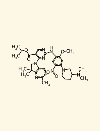 COc1cc(N2CCCC(N(C)C)C2)c([N+](=O)[O-])cc1Nc1ncc(C(=O)OC(C)C)c(N2CC(C)(C)c3nc(C)ccc32)n1